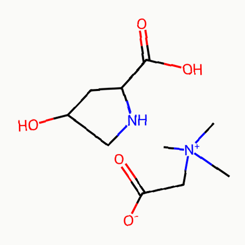 C[N+](C)(C)CC(=O)[O-].O=C(O)C1CC(O)CN1